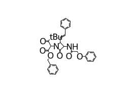 CC(C)(C)C(=O)C(C(=O)OCc1ccccc1)N1C(=O)C(NC(=O)COc2ccccc2)C1C=Cc1ccccc1